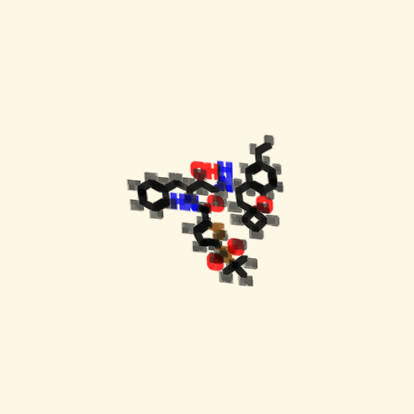 CCc1ccc2c(c1)[C@@H](NC[C@H](O)[C@H](Cc1ccccc1)NC(=O)c1ccc(S(=O)(=O)C(C)(C)C)s1)CC1(CCC1)O2